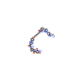 CC1(N)CCN(c2cnc(Sc3cccc(NC(=O)CCCCCCCOC4CCN(c5ncc(C(=O)NCc6ccc7c(c6)CN(C6CCC(=O)NC6=O)C7=O)cn5)CC4)c3)cn2)CC1